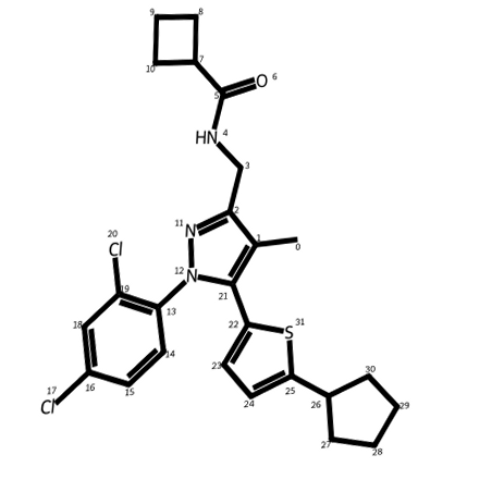 Cc1c(CNC(=O)C2CCC2)nn(-c2ccc(Cl)cc2Cl)c1-c1ccc(C2CCCC2)s1